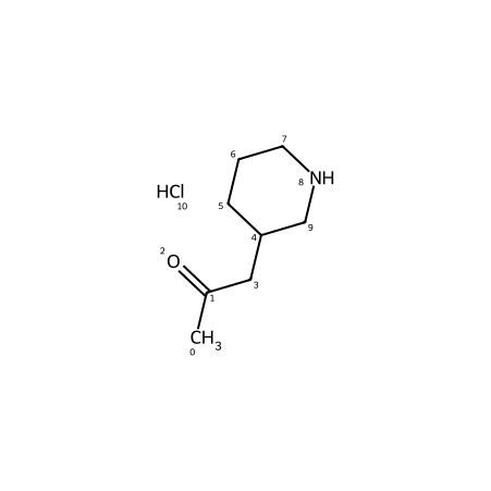 CC(=O)CC1CCCNC1.Cl